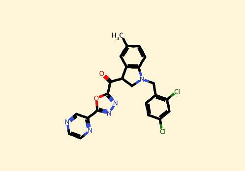 Cc1ccc2c(c1)C(C(=O)c1nnc(-c3cnccn3)o1)CN2Cc1ccc(Cl)cc1Cl